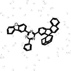 c1ccc(-c2nc(-c3ccc4c(c3)C3(c5ccc6ccccc6c5-4)C4CC5CC(C4)CC3C5)nc(-c3ccc4oc5ccccc5c4c3)n2)cc1